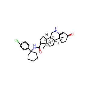 C[C@]12CCC(=O)C=C1NC[C@@H]1[C@H]2CC[C@]2(C)C(C(=O)NC3(c4ccc(Cl)cc4)CCCCC3)CC[C@@H]12